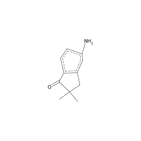 CC1(C)Cc2cc(N)ccc2C1=O